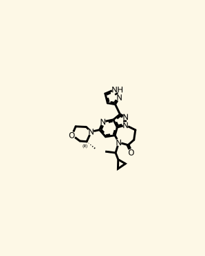 CC(C1CC1)N1C(=O)CCn2nc(-c3cc[nH]n3)c3nc(N4CCOC[C@H]4C)cc1c32